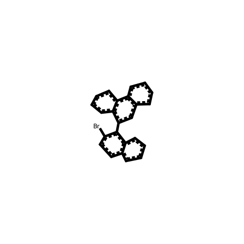 Brc1ccc2ccccc2c1-c1cc2ccccc2c2ccccc12